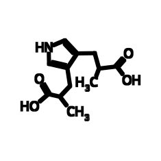 CC(Cc1c[nH]cc1CC(C)C(=O)O)C(=O)O